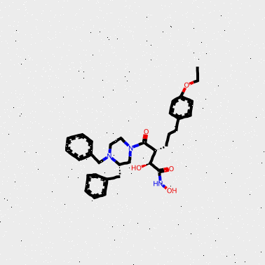 CCOc1ccc(CCC[C@@H](C(=O)N2CCN(Cc3ccccc3)[C@@H](Cc3ccccc3)C2)[C@H](O)C(=O)NO)cc1